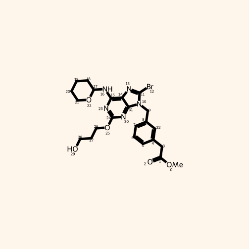 COC(=O)Cc1cccc(Cn2c(Br)nc3c(NC4CCCCO4)nc(OCCCO)nc32)c1